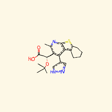 Cc1nc2sc3c(c2c(-c2cn[nH]c2)c1[C@H](OC(C)(C)C)C(=O)O)CCCC3